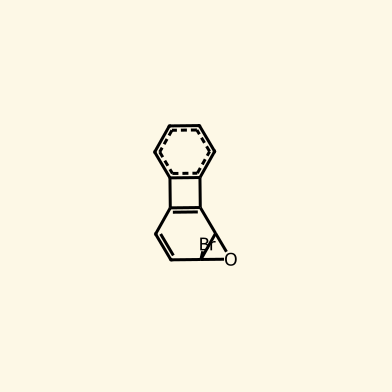 BrC12C=CC3=C(c4ccccc43)C1O2